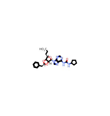 O=C(O)CC[C@H]1O[C@@H](n2cnc3c(NC(=O)NC4CCCC4)ncnc32)[C@H]2O[C@@H](Cc3ccccc3)OC12